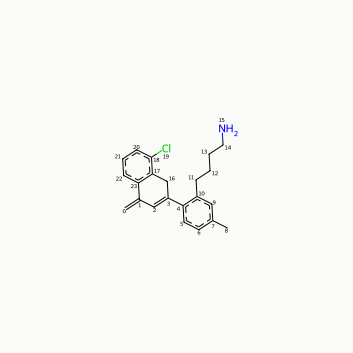 C=C1C=C(c2ccc(C)cc2CCCCN)Cc2c(Cl)cccc21